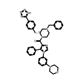 O=C(c1ncn(-c2cccc(N3CCOCC3)c2)c1-c1ccccc1)N1CCN(Cc2ccccc2)C[C@H]1Cc1ccc(-c2nnn[nH]2)cc1